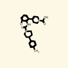 Cc1ccc(C2CCN(C(=O)Nc3c(Cl)cccc3C3=CCN(C(=O)O)CC3)CC2)cc1